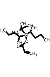 C=CC(=O)O[Si](C(C)CCC)(C(C)CCC)C(C)(C)C